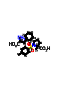 Cc1ccc(S(=O)(=O)N2CCC[C@@]2(C)C(=O)O)cc1.N[C@@H](Cc1ccccc1)C(=O)O